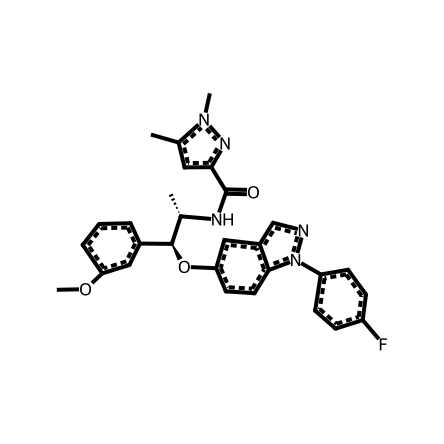 COc1cccc([C@H](Oc2ccc3c(cnn3-c3ccc(F)cc3)c2)[C@H](C)NC(=O)c2cc(C)n(C)n2)c1